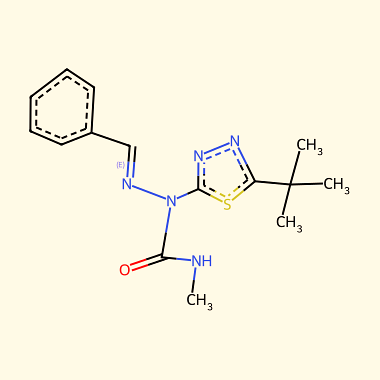 CNC(=O)N(/N=C/c1ccccc1)c1nnc(C(C)(C)C)s1